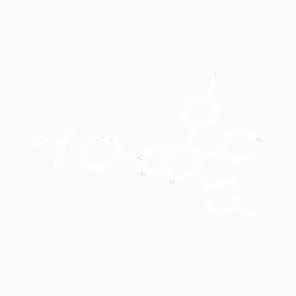 CS(=O)(=O)c1ccc(-n2cc3c(-c4ccc(F)cc4)c(-c4ccncc4)c(-c4ccc(F)cc4)nc3n2)cc1